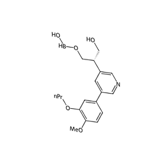 CCCOc1cc(-c2cncc([C@@H](CO)COBO)c2)ccc1OC